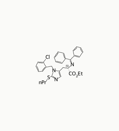 CCCSc1ncc(C[C@H](N=C(c2ccccc2)c2ccccc2)C(=O)OCC)n1Cc1ccccc1Cl